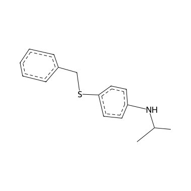 CC(C)Nc1ccc(SCc2ccccc2)cc1